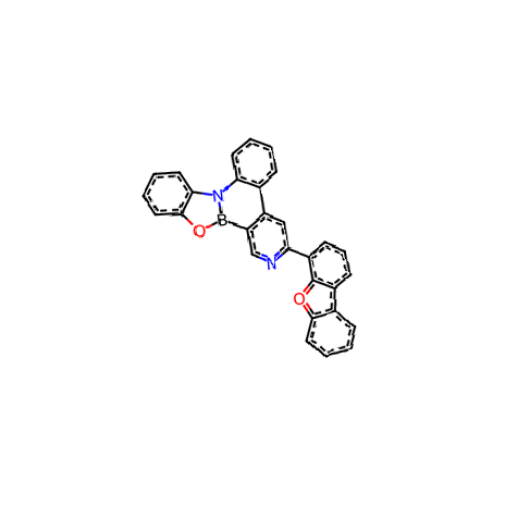 c1ccc2c(c1)OB1c3cnc(-c4cccc5c4oc4ccccc45)cc3-c3ccccc3N12